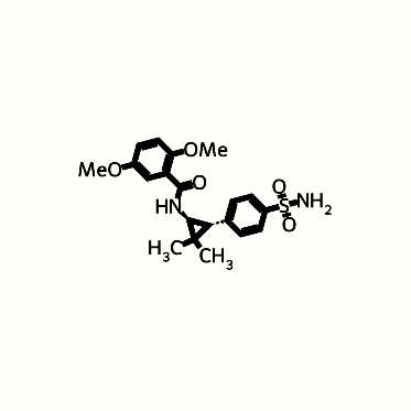 COc1ccc(OC)c(C(=O)N[C@H]2[C@H](c3ccc(S(N)(=O)=O)cc3)C2(C)C)c1